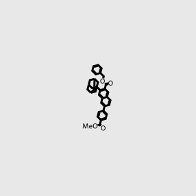 COC(=O)c1ccc(-c2ccc3cc(C(=O)OCc4ccccc4)c(C45CC6CC(CC(C6)C4)C5)cc3c2)cc1